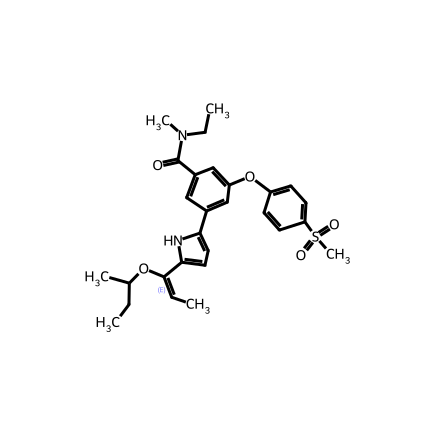 C/C=C(/OC(C)CC)c1ccc(-c2cc(Oc3ccc(S(C)(=O)=O)cc3)cc(C(=O)N(C)CC)c2)[nH]1